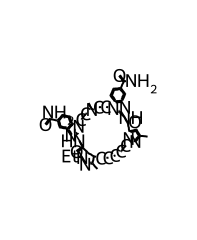 CCN1N=C(C)C2CCCCCn3nc(C)cc3C(=O)Nc3nc4cc(C(N)=O)ccc4n3CCN(C)CCn3c(nc4cc(C(N)=O)ccc43)NC(=O)C21